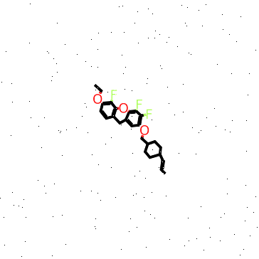 C/C=C/C1CCC(COc2cc3c(c(F)c2F)Oc2c(ccc(OCC)c2F)C3)CC1